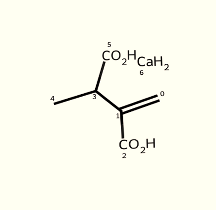 C=C(C(=O)O)C(C)C(=O)O.[CaH2]